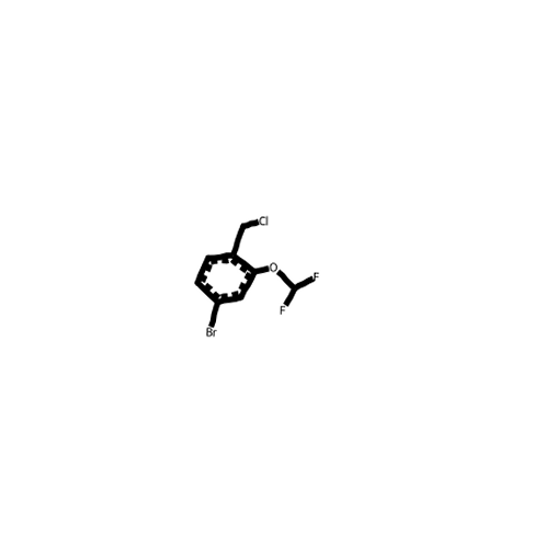 FC(F)Oc1cc(Br)ccc1CCl